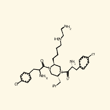 CC(C)C[C@@H]1CN(C(=O)C(N)Cc2ccc(Cl)cc2)[C@@H](CCCCNCCN)CN1C(=O)[C@H](N)Cc1ccc(Cl)cc1